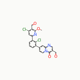 COc1nc(-c2cccc(-c3ccn4c(=O)c(C=O)cnc4c3)c2Cl)cc(Cl)c1C=O